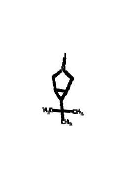 CC(C)(C)C1C2CN(I)CC21